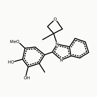 COc1cc(-c2nc3ccccc3n2C2(C)COC2)c(C)c(O)c1O